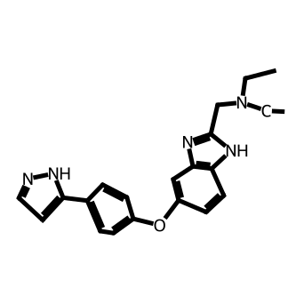 CCN(CC)Cc1nc2cc(Oc3ccc(-c4ccn[nH]4)cc3)ccc2[nH]1